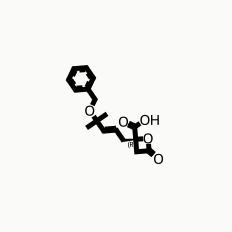 CC(C)(C=CC[C@]1(C(=O)O)CC(=O)O1)OCc1ccccc1